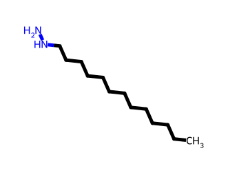 CCCCCCCCCCCCCNN